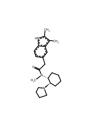 Cc1[nH]c2ccc(CC(=O)N(C)[C@@H]3CCCC[C@H]3N3CCCC3)cc2c1C